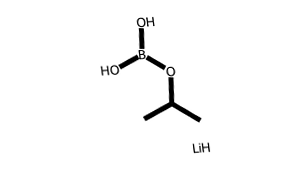 CC(C)OB(O)O.[LiH]